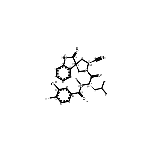 CC(C)C[C@@H](C(=O)N1C[C@]2(C[C@H]1C#N)C(=O)Nc1ccccc12)N(C)C(=O)c1ccc(F)c(Cl)c1